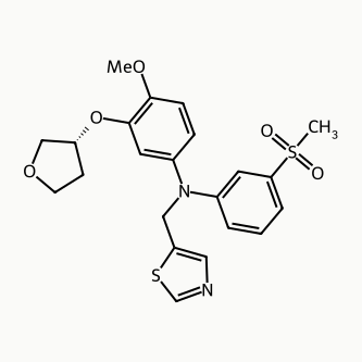 COc1ccc(N(Cc2cncs2)c2cccc(S(C)(=O)=O)c2)cc1O[C@@H]1CCOC1